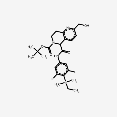 CC[Si](C)(C)c1c(F)cc(NC(=O)C2c3ccc(CO)nc3CCN2C(=O)OC(C)(C)C)cc1F